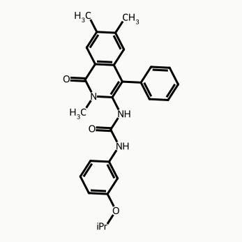 Cc1cc2c(-c3ccccc3)c(NC(=O)Nc3cccc(OC(C)C)c3)n(C)c(=O)c2cc1C